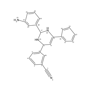 N#Cc1cccc(C2C=C(c3ccccc3)NC(c3cccc(N)c3)N2)c1